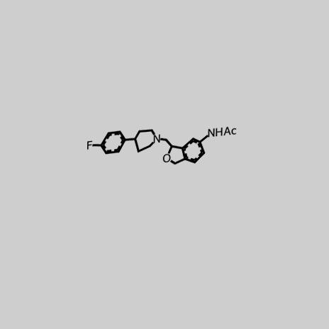 CC(=O)Nc1ccc2c(c1)C(CN1CCC(c3ccc(F)cc3)CC1)OC2